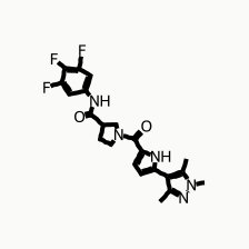 Cc1nn(C)c(C)c1-c1ccc(C(=O)N2CCC(C(=O)Nc3cc(F)c(F)c(F)c3)C2)[nH]1